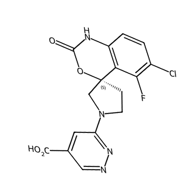 O=C1Nc2ccc(Cl)c(F)c2[C@]2(CCN(c3cc(C(=O)O)cnn3)C2)O1